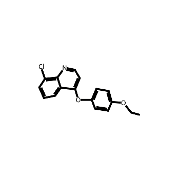 CCOc1ccc(Oc2ccnc3c(Cl)cccc23)cc1